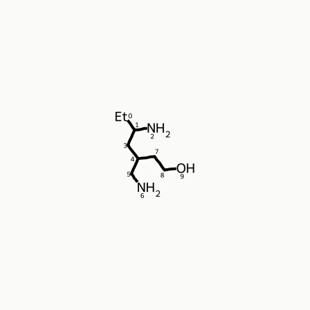 CCC(N)CC(CN)CCO